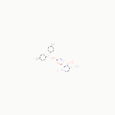 COc1cc[n+](O)c(C(=O)N[C@@H](C)C(=O)OC(C)C(c2ccc(Cl)cc2)c2ccc(Cl)cc2)c1O